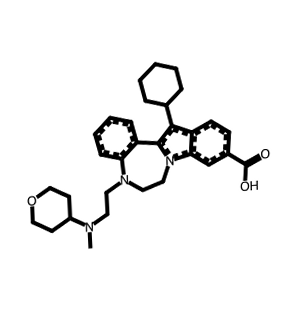 CN(CCN1CCn2c(c(C3CCCCC3)c3ccc(C(=O)O)cc32)-c2ccccc21)C1CCOCC1